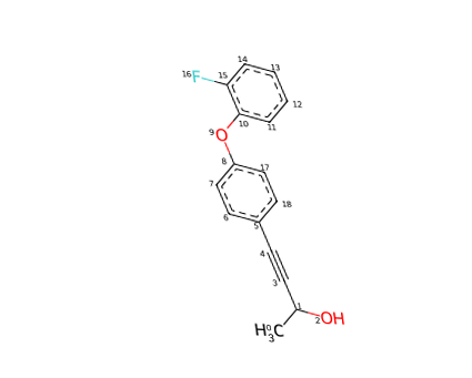 CC(O)C#Cc1ccc(Oc2ccccc2F)cc1